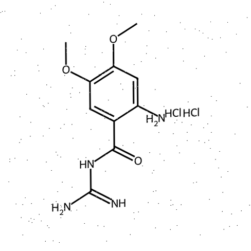 COc1cc(N)c(C(=O)NC(=N)N)cc1OC.Cl.Cl